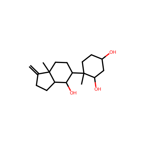 C=C1CCC2C(O)C(C3(C)CCC(O)CC3O)CCC12C